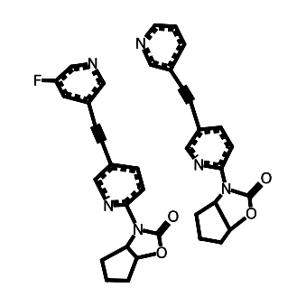 O=C1OC2CCCC2N1c1ccc(C#Cc2cccnc2)cn1.O=C1OC2CCCC2N1c1ccc(C#Cc2cncc(F)c2)cn1